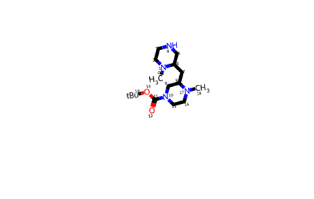 CN1CCNCC1CC1CN(C(=O)OC(C)(C)C)CCN1C